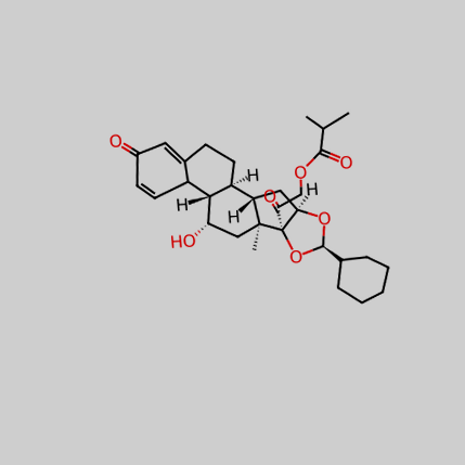 CC(C)C(=O)OCC(=O)[C@@]12O[C@H](C3CCCCC3)O[C@@H]1C[C@H]1[C@@H]3CCC4=CC(=O)C=CC4[C@H]3[C@@H](O)C[C@@]12C